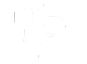 Nc1ccc(S(N)(=O)=O)cc1.O=[N+]([O-])c1cccc([N+](=O)[O-])c1